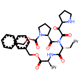 CC(C)C[C@H](C(=O)N[C@H](C(=O)OCc1ccccc1)C(C)C)N(C(=O)C(=O)C1CCCN1)C(=O)[C@@H]1CCCN1C(=O)OCc1ccccc1